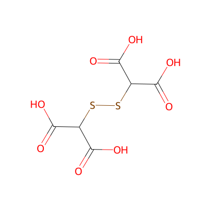 O=C(O)C(SSC(C(=O)O)C(=O)O)C(=O)O